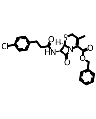 CC1=C(C(=O)OCc2ccccc2)N2C(=O)[C@@H](NC(=O)CCc3ccc(Cl)cc3)[C@H]2SC1